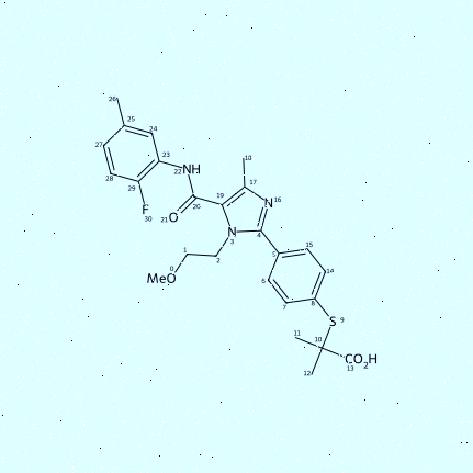 COCCn1c(-c2ccc(SC(C)(C)C(=O)O)cc2)nc(C)c1C(=O)Nc1cc(C)ccc1F